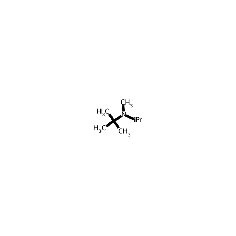 CC(C)N(C)C(C)(C)C